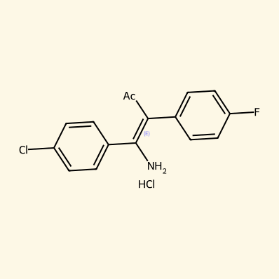 CC(=O)/C(=C(/N)c1ccc(Cl)cc1)c1ccc(F)cc1.Cl